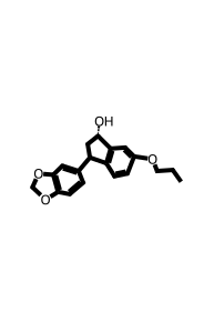 CCCOc1ccc2c(c1)[C@@H](O)CC2c1ccc2c(c1)OCO2